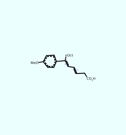 CCCCCCCC/C(=C\C=C\CC(=O)O)c1ccc(OC)cc1